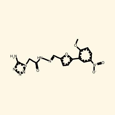 COc1ccc([N+](=O)[O-])cc1-c1ccc(/C=N/NC(=O)Cn2nnnc2N)o1